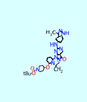 C=CCn1c(=O)c2cnc(Nc3ccc4[nH]nc(C)c4c3)nc2n1-c1cccc(OC2CCN(C(=O)OC(C)(C)C)CC2)n1